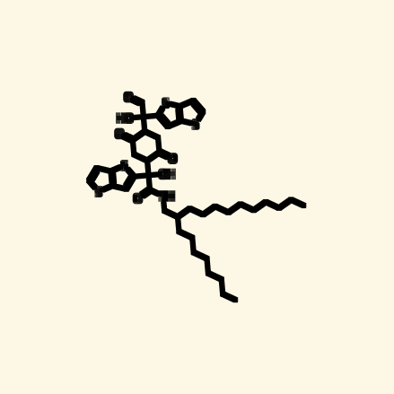 CCCCCCCCCCC(CCCCCCCC)CNC(=O)C(O)(c1cc2sccc2s1)C1CC(=O)C(C(O)(C=O)c2cc3sccc3s2)CC1=O